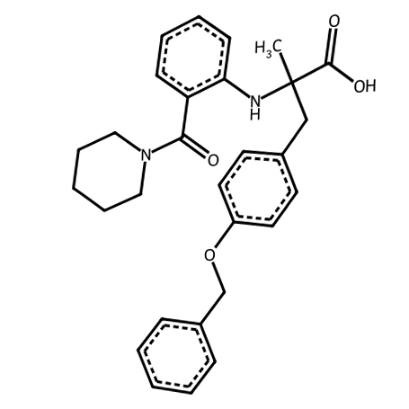 CC(Cc1ccc(OCc2ccccc2)cc1)(Nc1ccccc1C(=O)N1CCCCC1)C(=O)O